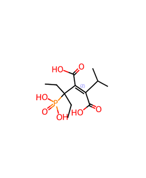 CCC(CC)(/C(C(=O)O)=C(\C(=O)O)C(C)C)P(=O)(O)O